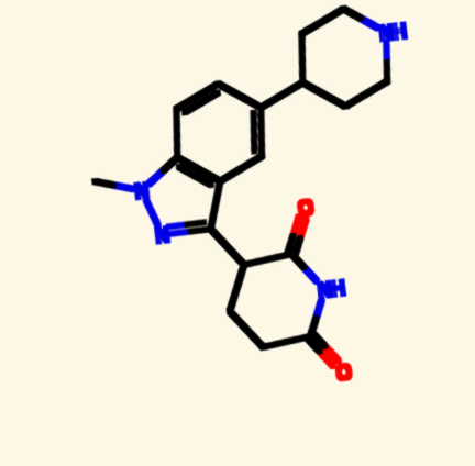 Cn1nc(C2CCC(=O)NC2=O)c2cc(C3CCNCC3)ccc21